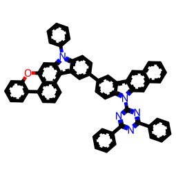 c1ccc(-c2nc(-c3ccccc3)nc(-n3c4ccc(-c5ccc6c(c5)c5c7cccc8c7c(cc5n6-c5ccccc5)Oc5ccccc5-8)cc4c4cc5ccccc5cc43)n2)cc1